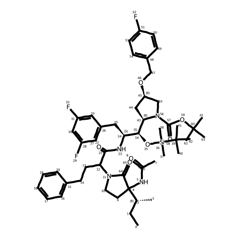 CC[C@@H](C)C1(NC(C)=O)CCN(C(CCc2ccccc2)C(=O)N[C@@H](Cc2cc(F)cc(F)c2)[C@H](O[Si](C)(C)C(C)(C)C)[C@H]2C[C@@H](OCc3ccc(F)cc3)CN2C(=O)OC(C)(C)C)C1=O